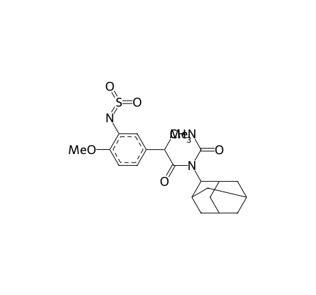 CNC(=O)N(C(=O)C(C)c1ccc(OC)c(N=S(=O)=O)c1)C1C2CC3CC(C2)CC1C3